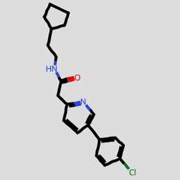 O=C(Cc1ccc(-c2ccc(Cl)cc2)cn1)NCCC1CCCC1